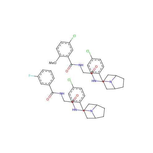 COc1ccc(Cl)cc1C(=O)NCC(=O)NC1CC2CCC(C1)N2Cc1ccc(Cl)cc1.O=C(CNC(=O)c1cccc(F)c1)NC1CC2CCC(C1)N2Cc1ccc(Cl)cc1